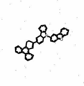 C1=CC2C(C=C1C1=Cc3c(c4ccccc4c4ccccc34)CC1)c1ccccc1N2c1ccc2oc3ccccc3c2c1